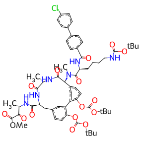 COC(=O)C(=O)[C@H](C)NC(=O)[C@@H]1Cc2ccc(OC(=O)OC(C)(C)C)c(c2)-c2cc(ccc2OC(=O)OC(C)(C)C)[C@H](N(C)C(=O)[C@H](CCCCNC(=O)OC(C)(C)C)NC(=O)c2ccc(-c3ccc(Cl)cc3)cc2)C(=O)N[C@@H](C)C(=O)N1